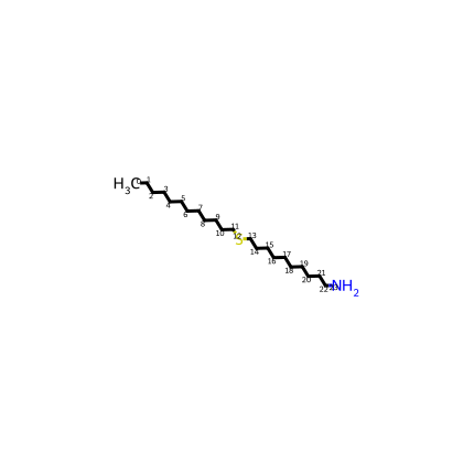 CCCCCCCCCCCCSCCCCCCCCCCN